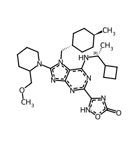 COCC1CCCCN1c1nc2nc(-c3nc(=O)o[nH]3)nc(N[C@H](C)C3CCC3)c2n1C[C@H]1CC[C@H](C)CC1